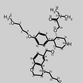 COCCCOc1ccc(C2[C@@H](OCc3ccc4c(c3)N(CCCOC)CCO4)CNC[C@H]2OCC(=O)N(C)C)cc1